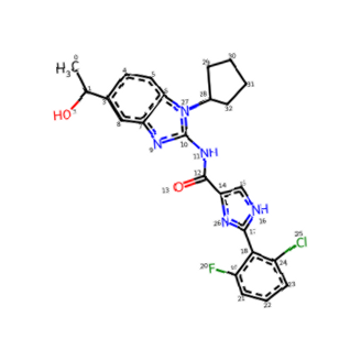 CC(O)c1ccc2c(c1)nc(NC(=O)c1c[nH]c(-c3c(F)cccc3Cl)n1)n2C1CCCC1